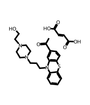 CC(=O)c1ccc2c(c1)N(CCCN1CCN(CCO)CC1)c1ccccc1S2.O=C(O)C=CC(=O)O